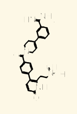 CN(C)CCc1[nH]c(=O)ccc1-c1ccc(C(=O)N2CC=C(c3cccc(C(=N)N)c3)CC2)cc1